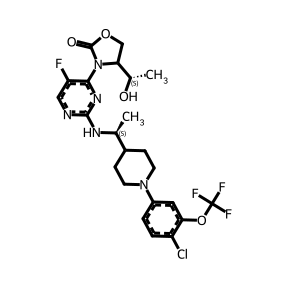 C[C@H](O)C1COC(=O)N1c1nc(N[C@@H](C)C2CCN(c3ccc(Cl)c(OC(F)(F)F)c3)CC2)ncc1F